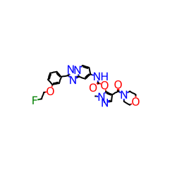 Cn1ncc(C(=O)N2CCOCC2)c1OC(=O)Nc1ccn2nc(-c3cccc(OCCF)c3)nc2c1